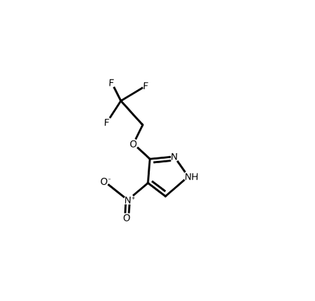 O=[N+]([O-])c1c[nH]nc1OCC(F)(F)F